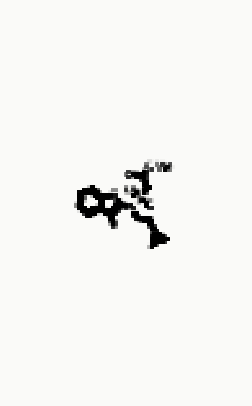 COC(=O)CS(=O)(=O)N(CCC1CC1)c1sc2ccccc2c1C